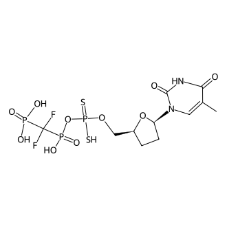 Cc1cn([C@H]2CC[C@@H](COP(=S)(S)OP(=O)(O)C(F)(F)P(=O)(O)O)O2)c(=O)[nH]c1=O